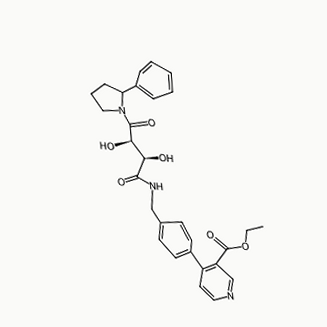 CCOC(=O)c1cnccc1-c1ccc(CNC(=O)[C@H](O)[C@@H](O)C(=O)N2CCCC2c2ccccc2)cc1